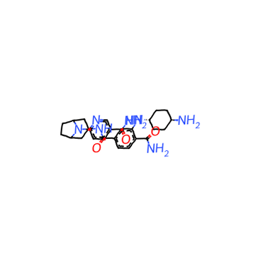 NC(=O)c1ccc(N2C3CCC2CC(NC(=O)c2ccc(C(N)=O)c(N[C@H]4CC[C@H](N)CC4)c2)C3)nc1